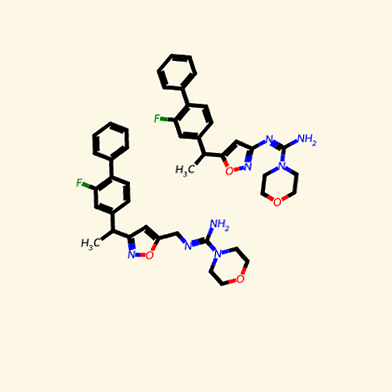 CC(c1ccc(-c2ccccc2)c(F)c1)c1cc(/N=C(/N)N2CCOCC2)no1.CC(c1ccc(-c2ccccc2)c(F)c1)c1cc(C/N=C(\N)N2CCOCC2)on1